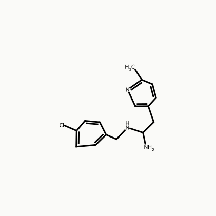 Cc1ccc(CC(N)NCc2ccc(Cl)cc2)cn1